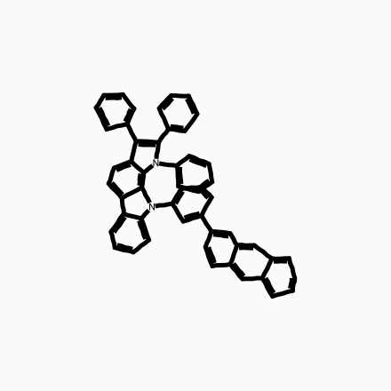 c1ccc(-c2c(-c3ccccc3)n(-c3ccccc3)c3c2ccc2c4ccccc4n(-c4cccc(-c5ccc6cc7ccccc7cc6c5)c4)c23)cc1